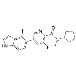 CN(C(=O)c1ncc(-c2ccc3[nH]ccc3c2F)cc1F)C1CCCC1